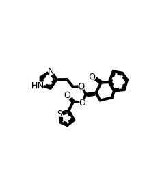 O=C(OC(OCCc1c[nH]cn1)=C1CCc2ccccc2C1=O)c1cccs1